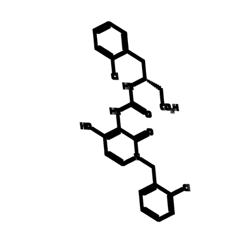 O=C(O)C[C@@H](Cc1ccccc1Cl)NC(=O)Nc1c(O)ccn(Cc2ccccc2Cl)c1=O